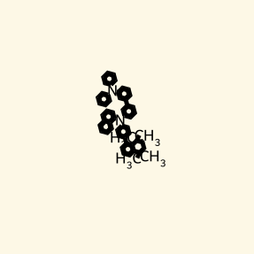 CC1(C)CCC(C)(C)c2c(-c3ccc(N(c4cccc(-c5cccc(N(c6ccccc6)c6ccccc6)c5)c4)c4cccc5ccccc45)cc3)cccc21